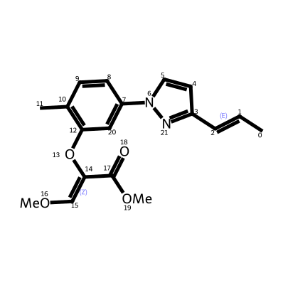 C/C=C/c1ccn(-c2ccc(C)c(O/C(=C\OC)C(=O)OC)c2)n1